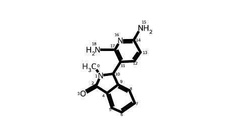 CN1C(=O)c2ccccc2C1c1ccc(N)nc1N